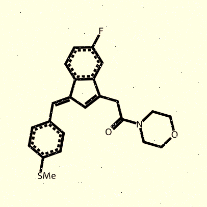 CSc1ccc(/C=C2\C=C(CC(=O)N3CCOCC3)c3cc(F)ccc32)cc1